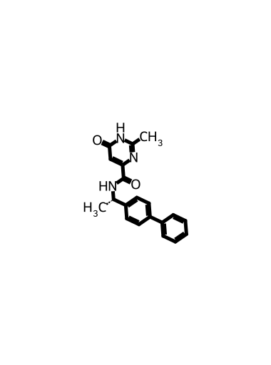 Cc1nc(C(=O)N[C@@H](C)c2ccc(-c3ccccc3)cc2)cc(=O)[nH]1